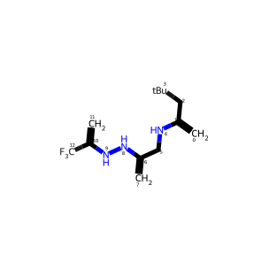 C=C(CC(C)(C)C)NCC(=C)NNC(=C)C(F)(F)F